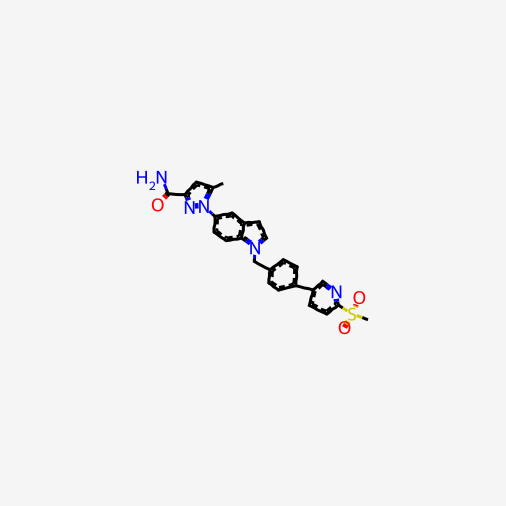 Cc1cc(C(N)=O)nn1-c1ccc2c(ccn2Cc2ccc(-c3ccc(S(C)(=O)=O)nc3)cc2)c1